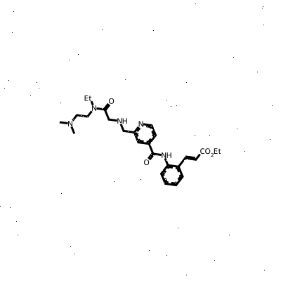 CCOC(=O)/C=C/c1ccccc1NC(=O)c1ccnc(CNCC(=O)N(CC)CCN(C)C)c1